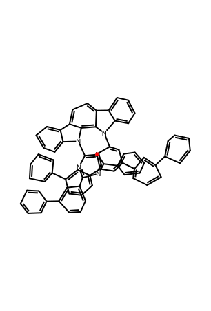 c1ccc(-c2cccc(-c3cc(-c4cccc(-c5ccccc5)c4)cc(-n4c5ccccc5c5ccc6c7ccccc7n(-c7nc(-c8ccccc8)nc(-c8cccc(-c9ccccc9)c8)n7)c6c54)c3)c2)cc1